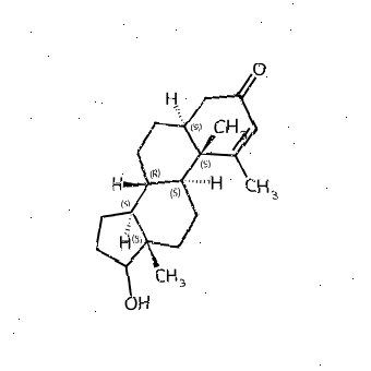 CC1=CC(=O)C[C@@H]2CC[C@@H]3[C@H](CC[C@]4(C)C(O)CC[C@@H]34)[C@@]12C